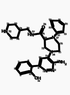 Nc1nnc(-c2ccccc2O)cc1N1CCN(c2ccccc2)C(C(=O)NCC2CCNCC2)C1